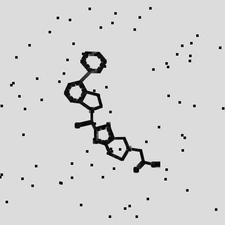 O=C(O)CN1CCc2nc(C(=O)N3CCc4c(-c5ccccc5)cccc43)sc2C1